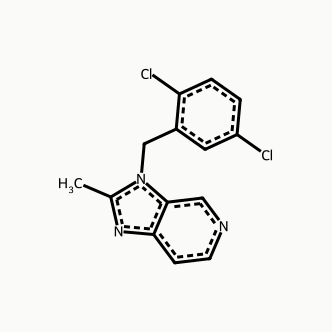 Cc1nc2ccncc2n1Cc1cc(Cl)ccc1Cl